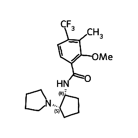 COc1c(C(=O)N[C@@H]2CCC[C@@H]2N2CCCC2)ccc(C(F)(F)F)c1C